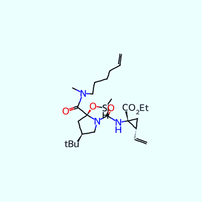 C=CCCCCN(C)C(=O)[C@@]1(O[SiH](C)C)C[C@H](C(C)(C)C)CN1C(=O)N[C@]1(C(=O)OCC)C[C@@H]1C=C